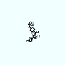 Cc1ccc(-c2cc(C(=O)N3CCC(CC(C)(C)O)CC3)[nH]n2)s1